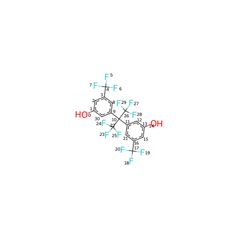 Oc1cc(C(F)(F)F)cc(C(c2cc(O)cc(C(F)(F)F)c2)(C(F)(F)F)C(F)(F)F)c1